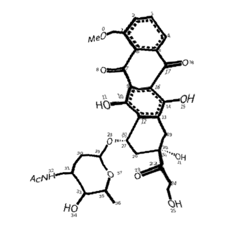 COc1cccc2c1C(=O)c1c(O)c3c(c(O)c1C2=O)C[C@@](O)(C(=O)CO)C[C@@H]3OC1CC(NC(C)=O)C(O)C(C)O1